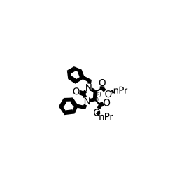 CCCOC(=O)[C@@H]1[C@H](C(=O)OCCC)N(Cc2ccccc2)C(=O)N1Cc1ccccc1